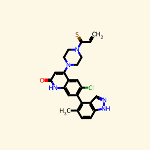 C=CC(=S)N1CCN(c2cc(=O)[nH]c3cc(-c4c(C)ccc5[nH]ncc45)c(Cl)cc23)CC1